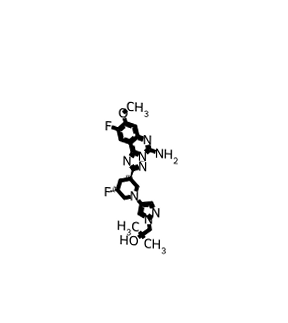 COc1cc2nc(N)n3nc([C@@H]4C[C@@H](F)CN(c5cnn(CC(C)(C)O)c5)C4)nc3c2cc1F